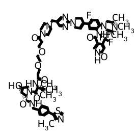 Cc1ncsc1-c1ccc(CNC(=O)[C@@H]2C[C@@H](O)CN2C(=O)[C@@H](NC(=O)CCOCCOCCC(=O)N2CCN(Cc3cnc(N4CC=C(c5cc(NC(=O)c6c[nH]c(=O)cc6C(F)(F)F)c(N6C[C@@H](C)N(C)[C@@H](C)C6)cc5F)CC4)nc3)CC2)C(C)(C)C)cc1